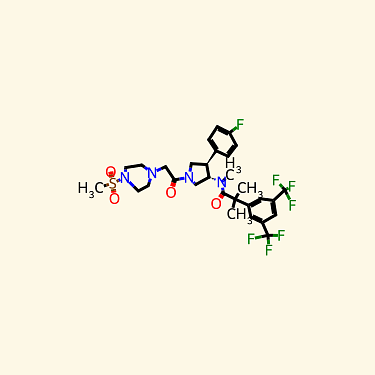 CN(C(=O)C(C)(C)c1cc(C(F)(F)F)cc(C(F)(F)F)c1)[C@@H]1CN(C(=O)CN2CCN(S(C)(=O)=O)CC2)C[C@H]1c1ccc(F)cc1